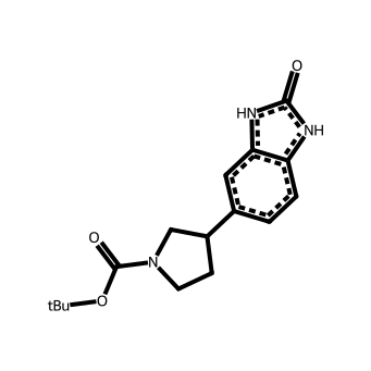 CC(C)(C)OC(=O)N1CCC(c2ccc3[nH]c(=O)[nH]c3c2)C1